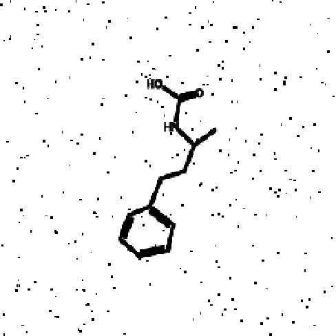 CC(CCc1ccccc1)NC(=O)O